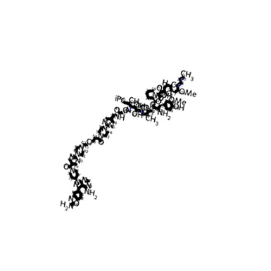 C/C=C/C=C(\C)[C@H](C[C@@H]1CCC[C@](O)(C(=O)C(=O)N2CCCC[C@H]2C(=O)O[C@@H](C[C@@H](O)[C@H](C)/C=C(\C)[C@@H](O)[C@@H](O)/C(=N/OCC(=O)NCc2cnc(N3CCN(C(=O)CCOCCN4CCN(c5ncc(C(=O)N6CCC(n7nc(-c8ccc9oc(N)nc9c8)c8c(N)ncnc87)CC6)cn5)CC4)CC3)nc2)[C@H](C)CC(C)C)[C@H](N)C[C@@H]2CC[C@@H](O)[C@H](OC)C2)O1)OC